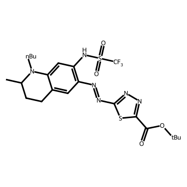 CCCCN1c2cc(NS(=O)(=O)C(F)(F)F)c(N=Nc3nnc(C(=O)OC(C)(C)C)s3)cc2CCC1C